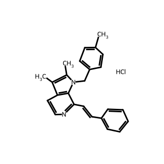 Cc1ccc(Cn2c(C)c(C)c3ccnc(/C=C/c4ccccc4)c32)cc1.Cl